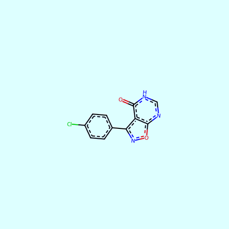 O=c1[nH]cnc2onc(-c3ccc(Cl)cc3)c12